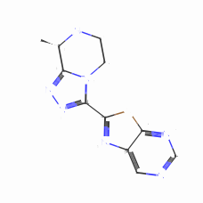 C[C@H]1NCCn2c(-c3nc4cncnc4s3)nnc21